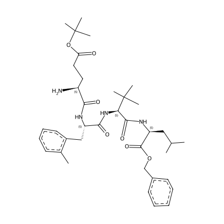 Cc1ccccc1C[C@H](NC(=O)[C@@H](N)CCC(=O)OC(C)(C)C)C(=O)N[C@H](C(=O)N[C@@H](CC(C)C)C(=O)OCc1ccccc1)C(C)(C)C